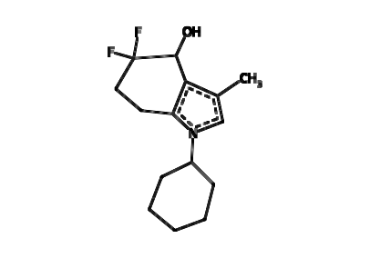 Cc1cn(C2CCCCC2)c2c1C(O)C(F)(F)CC2